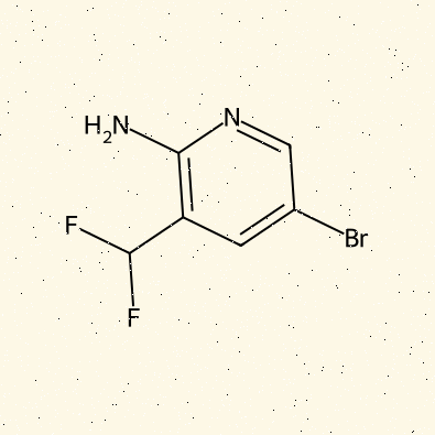 Nc1ncc(Br)cc1C(F)F